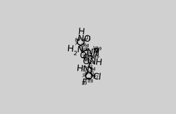 NC(=O)[C@H](C[C@@H]1CCCNC1=O)NC(=O)[C@H](CC1CC1)NC(=O)c1cc2c(Cl)cc(F)cc2[nH]1